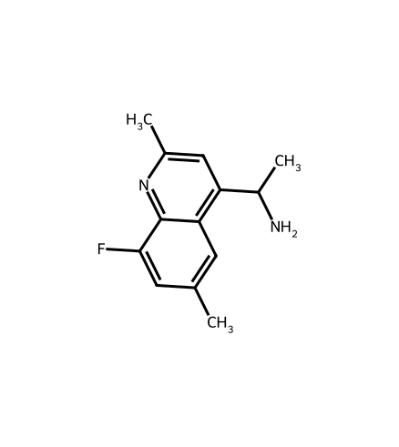 Cc1cc(F)c2nc(C)cc(C(C)N)c2c1